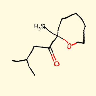 CC(C)CC(=O)C1([SiH3])CCCCO1